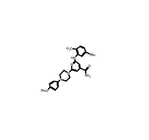 COc1ccc(N2CCN(c3cc(C(N)=O)cc(Nc4cc(C(C)(C)C)ccc4C)n3)CC2)cc1